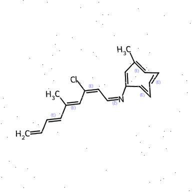 C=C/C=C/C(C)=C/C(Cl)=C\C=N/C1=CC(/C)=C/C=C/C=C/1